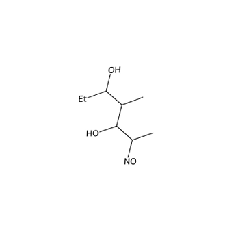 CCC(O)C(C)C(O)C(C)N=O